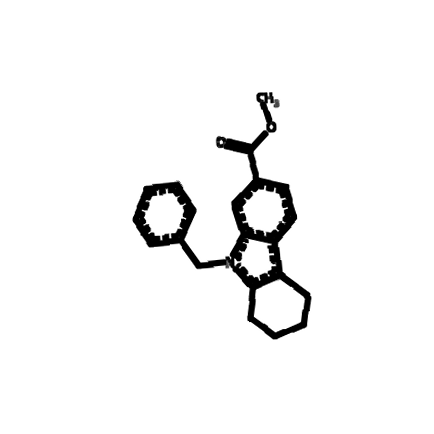 COC(=O)c1ccc2c3c(n(Cc4ccccc4)c2c1)CCCC3